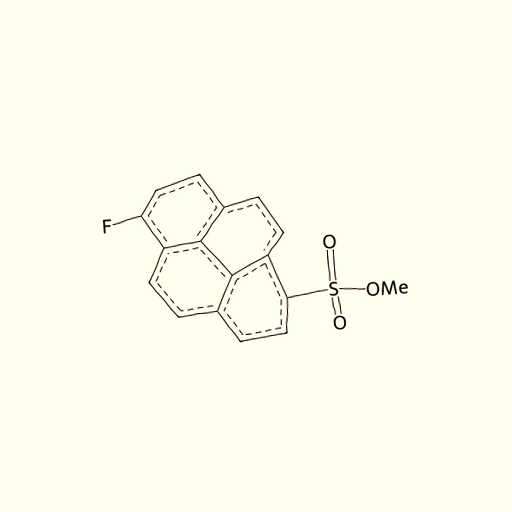 [CH2]OS(=O)(=O)c1ccc2ccc3c(F)ccc4ccc1c2c43